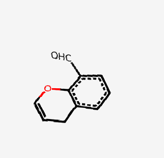 O=Cc1cccc2c1OC=CC2